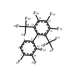 Fc1ccc(-c2c(C(F)(F)F)c(F)c(F)c(F)c2C(F)(F)F)c(F)c1F